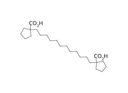 O=C(O)C1(CCCCCCCCCCCCC2(C(=O)O)CCCC2)CCCC1